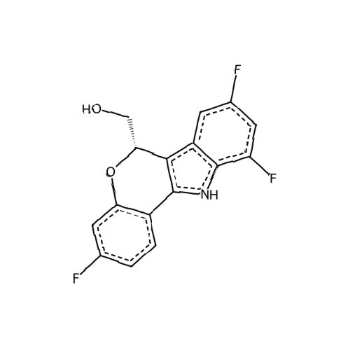 OC[C@H]1Oc2cc(F)ccc2-c2[nH]c3c(F)cc(F)cc3c21